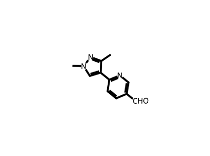 Cc1nn(C)cc1-c1ccc(C=O)cn1